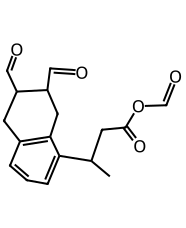 CC(CC(=O)OC=O)c1cccc2c1CC(C=O)C(C=O)C2